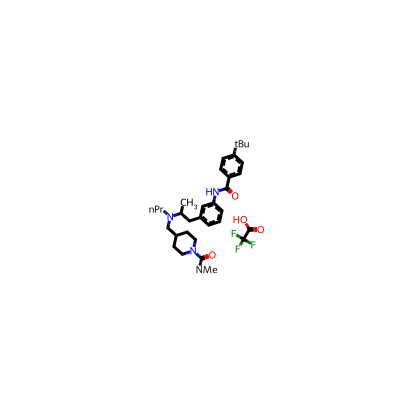 CCCN(CC1CCN(C(=O)NC)CC1)C(C)Cc1cccc(NC(=O)c2ccc(C(C)(C)C)cc2)c1.O=C(O)C(F)(F)F